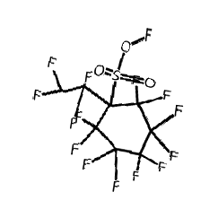 O=S(=O)(OF)C1(C(F)(F)[C](F)F)C(F)(F)C(F)(F)C(F)(F)C(F)(F)C1(F)F